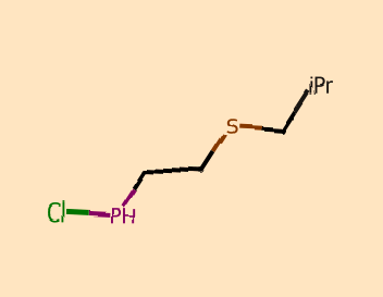 CC(C)CSCCPCl